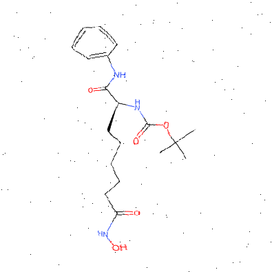 CC(C)(C)OC(=O)N[C@@H](CCCCCC(=O)NO)C(=O)Nc1ccccc1